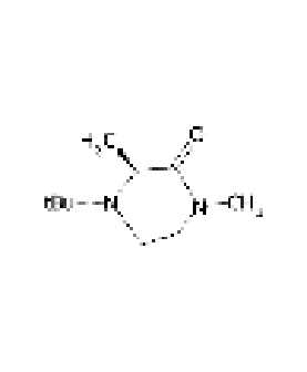 C[C@H]1C(=O)N(C)CCN1C(C)(C)C